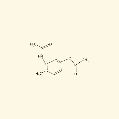 CC(=O)Nc1cc(OC(C)=O)ccc1C